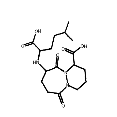 CC(C)CCC(NC1CCC(=O)N2CCCC(C(=O)O)N2C1=O)C(=O)O